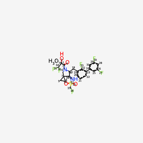 C[C@](O)(C(=O)N1CC2(CC2)[C@H](NS(=O)(=O)CF)[C@@H]1Cc1cccc(-c2cc(F)cc(F)c2)c1F)C(F)F